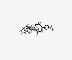 CC1CCN(CCN2C3CCC2CN(C)C3)CC1